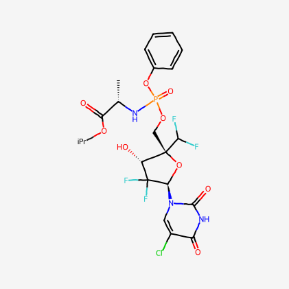 CC(C)OC(=O)[C@H](C)NP(=O)(OC[C@@]1(C(F)F)O[C@@H](n2cc(Cl)c(=O)[nH]c2=O)C(F)(F)[C@@H]1O)Oc1ccccc1